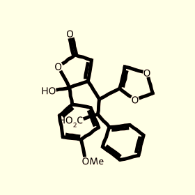 COc1ccc(C2(O)OC(=O)C=C2C(C2=COCO2)C(C(=O)O)c2ccccc2)cc1